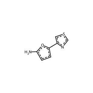 Nc1ccc(-c2cscn2)o1